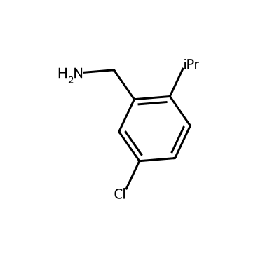 CC(C)c1ccc(Cl)cc1CN